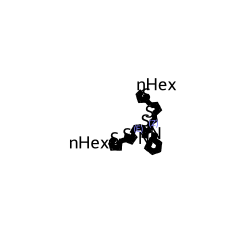 CCCCCCc1ccc(-c2ccc(/C=c3\s/c(=C/c4ccc(-c5ccc(CCCCCC)s5)s4)c4nc5ccccc5nc34)s2)s1